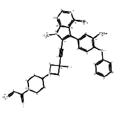 C=CC(=O)N1CCC(N2CC(F)(C#Cc3c(-c4ccc(Oc5ccccc5)c(OC)c4)c4c(N)ncnc4n3C)C2)CC1